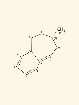 C[C@H]1CC=c2ncccc2=NC1